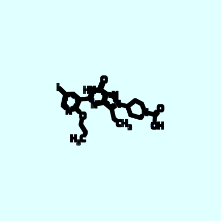 CCCOc1ncc(I)cc1-c1nc2c(CC)n(C3CCN(C(=O)O)CC3)nc2c(=O)[nH]1